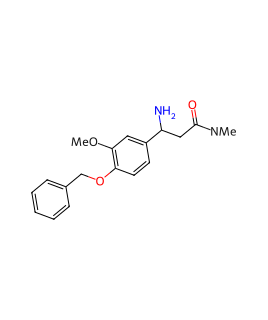 CNC(=O)CC(N)c1ccc(OCc2ccccc2)c(OC)c1